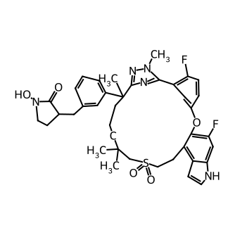 Cn1nc2nc1-c1cc(ccc1F)Oc1c(F)cc3[nH]ccc3c1CCS(=O)(=O)CC(C)(C)CCCC2(C)c1cccc(CC2CCN(O)C2=O)c1